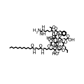 CCCCCCCCCCCC(=O)NCCC(=O)NCCCCC(NC(=O)[C@H](CO)NC(C)=O)C(=O)N[C@@H](CO)C(=O)N[C@@H](CCCC)C(=O)N[C@@H](CCC(=O)O)C(=O)NC(CO)C(=O)N[C@H](Cc1ccccc1)C(=O)N[C@@H](CCCNC(=N)N)C(C)=O